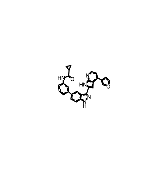 O=C(Nc1cncc(-c2ccc3[nH]nc(-c4cc5c(-c6ccoc6)ccnc5[nH]4)c3c2)c1)C1CC1